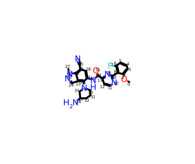 COc1cccc(F)c1-c1nccc(C(=O)Nc2cc(C#N)c3c(cnn3C)c2N2CCCC(N)C2)n1